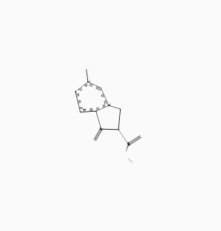 COC(=O)C1Cc2cc(Br)ccc2C1=O